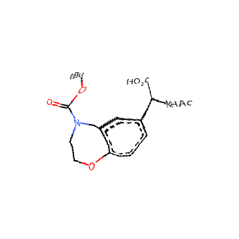 CC(=O)NC(C(=O)O)c1ccc2c(c1)N(C(=O)OC(C)(C)C)CCO2